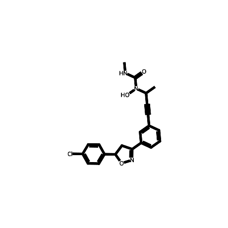 CNC(=O)N(O)C(C)C#Cc1cccc(C2=NOC(c3ccc(Cl)cc3)C2)c1